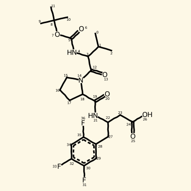 CC(C)C(NC(=O)OC(C)(C)C)C(=O)N1CCCC1C(=O)NC(CC(=O)O)Cc1cc(F)c(F)cc1F